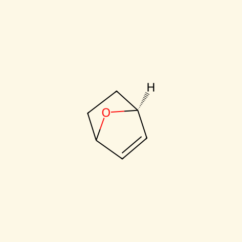 C1=C[C@@H]2CCC1O2